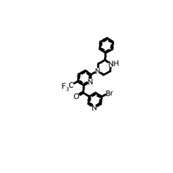 O=C(c1cncc(Br)c1)c1nc(N2CCNC(c3ccccc3)C2)ccc1C(F)(F)F